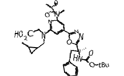 CC1CC1CN(CC(=O)O)c1cc(-c2nnc([C@](C)(Cc3ccccc3)NC(=O)OC(C)(C)C)o2)cc(N(C)S(C)(=O)=O)n1